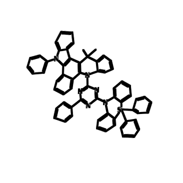 CC1(C)c2ccccc2N(c2nc(-c3ccccc3)nc(N3c4ccccc4[Si](c4ccccc4)(c4ccccc4)c4ccccc43)n2)c2c1c1c3ccccc3n(-c3ccccc3)c1c1ccccc21